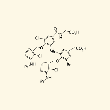 CC(C)Nc1cccc(COc2c(Br)cc(CC(=O)O)cc2Br)c1Cl.CC(C)Nc1cccc(COc2c(Cl)cc(C(=O)NCC(=O)O)cc2Cl)c1Cl